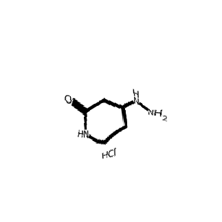 Cl.NNC1CCNC(=O)C1